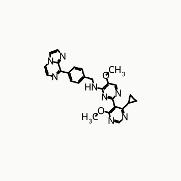 COc1cnc(-c2c(OC)ncnc2C2CC2)nc1NCc1ccc(-c2nccn3ccnc23)cc1